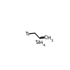 C=C[CH2][Ti].[SiH4]